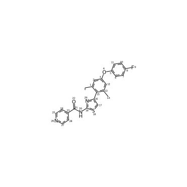 Cc1cc(Oc2ccc(F)cc2)cc(C)c1-c1csc(NC(=O)c2ccncc2)n1